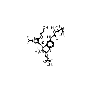 C[C@@H]1[C@H](CNS(C)(=O)=O)Oc2ccc(NC(=O)OC(C)(C)C(F)(F)F)cc2N1S(=O)(=O)c1cn(C(F)F)nc1OCCO